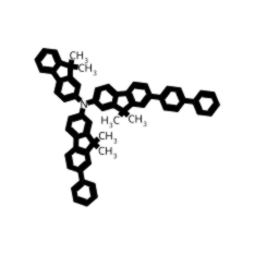 CC1(C)c2ccccc2-c2ccc(N(c3ccc4c(c3)C(C)(C)c3cc(-c5ccccc5)ccc3-4)c3ccc4c(c3)C(C)(C)c3cc(-c5ccc(-c6ccccc6)cc5)ccc3-4)cc21